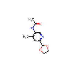 CC(=O)Nc1cnc(C2OCCO2)cc1C